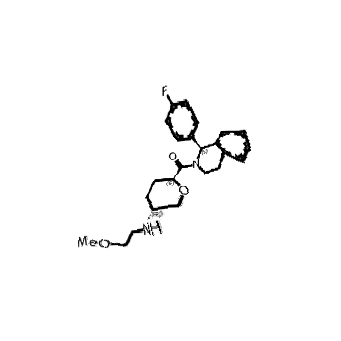 COCCN[C@@H]1CC[C@@H](C(=O)N2CCc3ccccc3[C@@H]2c2ccc(F)cc2)OC1